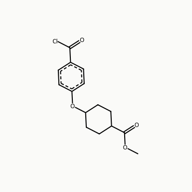 COC(=O)C1CCC(Oc2ccc(C(=O)Cl)cc2)CC1